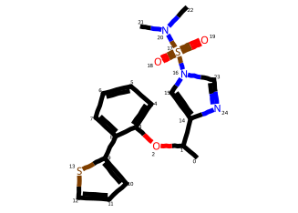 CC(Oc1ccccc1-c1cccs1)c1cn(S(=O)(=O)N(C)C)cn1